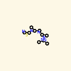 c1ccc(-c2cc(-c3ccccc3)nc(-n3c4ccccc4c4cc(-c5cccc(-c6ccc7c(c6)c6ccccc6n7-c6ccc7sc8ccncc8c7c6)n5)ccc43)n2)cc1